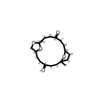 CC12CCC(=O)CCC3COC(C)(CCC(=O)CCC(CC1)O2)O3